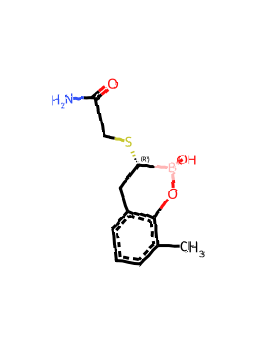 Cc1cccc2c1OB(O)[C@@H](SCC(N)=O)C2